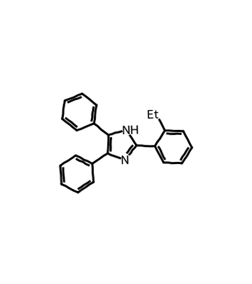 CCc1ccccc1-c1nc(-c2ccccc2)c(-c2ccccc2)[nH]1